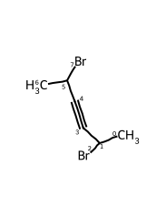 CC(Br)C#CC(C)Br